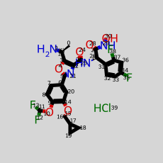 C[C@H](N)c1oc(-c2ccc(OC(F)F)c(OCC3CC3)c2)nc1C(=O)N[C@H](C(=O)NO)c1ccc(F)cc1F.Cl